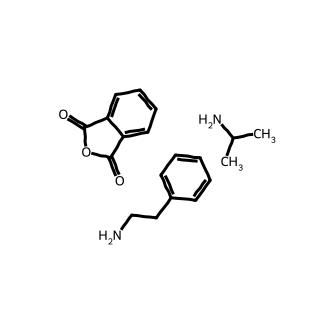 CC(C)N.NCCc1ccccc1.O=C1OC(=O)c2ccccc21